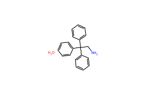 NCC(c1ccccc1)(c1ccccc1)c1ccccc1.O